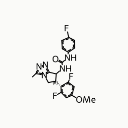 COc1cc(F)c([C@@H]2Cn3c(C)nnc3C2NC(=O)Nc2ccc(F)cc2)c(F)c1